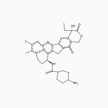 CC[C@@]1(O)C(=O)OCc2c1cc1n(c2=O)Cc2c-1nc1cc(F)c(C)c3c1c2[C@@H](NC(=O)C1CCC(N)CC1)CC3